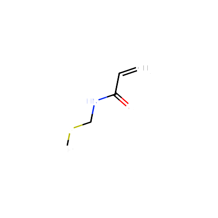 C=CC(=O)NCSC(C)C